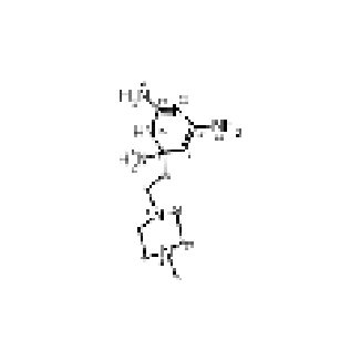 CN1CCN(CCC2(N)C=C(N)N=C(N)N2)CC1